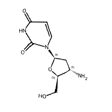 N[C@H]1C[C@H](n2ccc(=O)[nH]c2=O)O[C@@H]1[CH]O